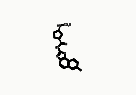 O=C(O)N[C@@H]1CC[C@H](C(=O)Nc2nc3ccc4cc(F)ccc4c3s2)C1